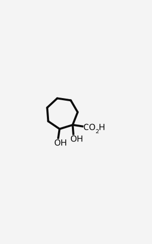 O=C(O)C1(O)CCCCCC1O